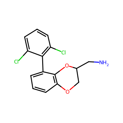 NCC1COc2cccc(-c3c(Cl)cccc3Cl)c2O1